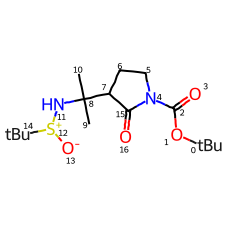 CC(C)(C)OC(=O)N1CCC(C(C)(C)N[S+]([O-])C(C)(C)C)C1=O